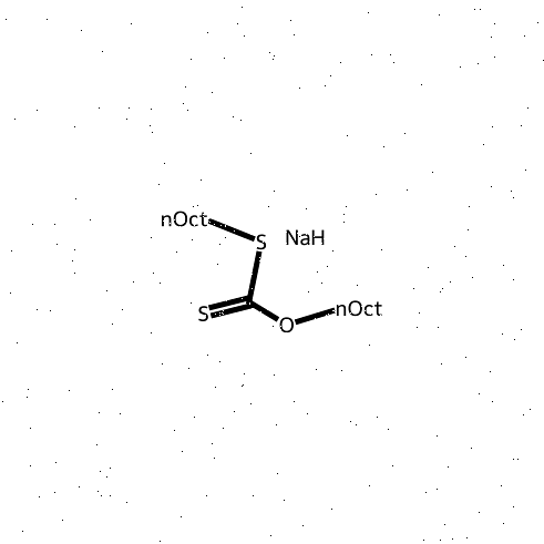 CCCCCCCCOC(=S)SCCCCCCCC.[NaH]